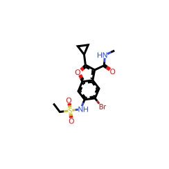 CCS(=O)(=O)Nc1cc2oc(C3CC3)c(C(=O)NC)c2cc1Br